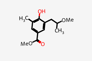 COC(=O)c1cc(C)c(O)c(CC(C)OC)c1